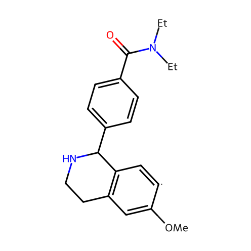 CCN(CC)C(=O)c1ccc(C2NCCc3cc(OC)[c]cc32)cc1